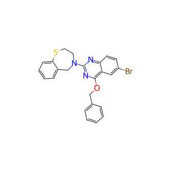 Brc1ccc2nc(N3CCSc4ccccc4C3)nc(OCc3ccccc3)c2c1